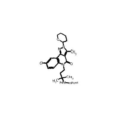 CCCCCNC(C)(C)CCn1c(=O)c2c(C)n(C3CCCCO3)nc2c2cc(Cl)ccc21